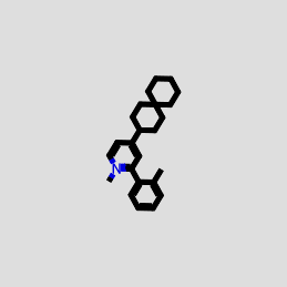 Cc1ccccc1-c1cc(C2CCC3(CCCCC3)CC2)cc[n+]1C